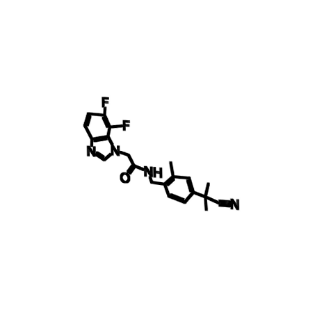 Cc1cc(C(C)(C)C#N)ccc1CNC(=O)Cn1cnc2ccc(F)c(F)c21